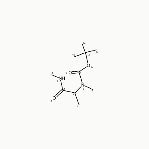 CNC(=O)C(C)N(C)C(=O)OC(C)(C)C